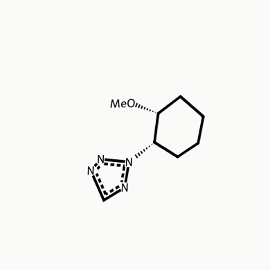 CO[C@@H]1CCCC[C@@H]1n1ncnn1